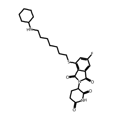 O=C1CCC(N2C(=O)c3cc(F)cc(SCCCCCCCNC4CCCCC4)c3C2=O)C(=O)N1